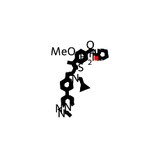 COc1cc(C(=O)N2CC3CCC2[C@@H]3N)cc2sc(-c3cc4ccc(-c5ccn6c(C)nnc6c5)cc4n3CC3CC3)c(C)c12